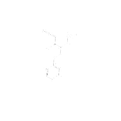 [N-]=[N+]=CC(=O)C(CSc1ccccn1)CC(=O)O